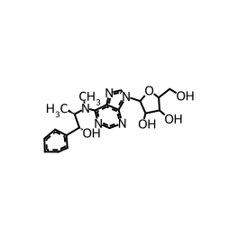 C[C@H]([C@H](O)c1ccccc1)N(C)c1ncnc2c1ncn2C1OC(CO)C(O)C1O